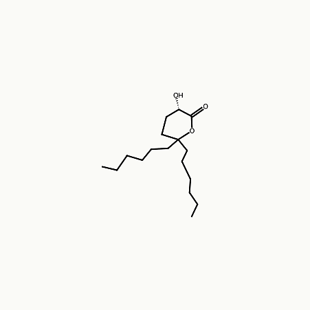 CCCCCCC1(CCCCCC)CC[C@H](O)C(=O)O1